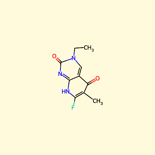 CCn1cc2c(=O)c(C)c(F)[nH]c2nc1=O